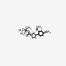 COc1cc(N)ccc1C1CCN(C(=O)OC(C)(C)C)C1